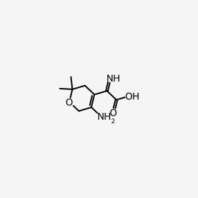 CC1(C)CC(C(=N)C(=O)O)=C(N)CO1